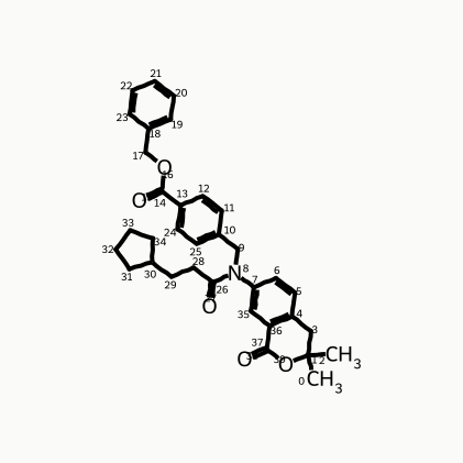 CC1(C)Cc2ccc(N(Cc3ccc(C(=O)OCc4ccccc4)cc3)C(=O)CCC3CCCC3)cc2C(=O)O1